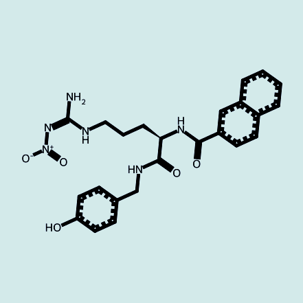 N/C(=N/[N+](=O)[O-])NCCC[C@@H](NC(=O)c1ccc2ccccc2c1)C(=O)NCc1ccc(O)cc1